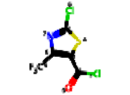 O=C(Cl)c1sc(Cl)nc1C(F)(F)F